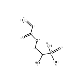 C=CC(=O)OCC(O)P(=O)(O)O